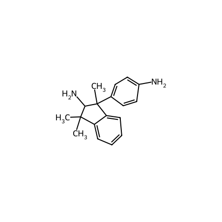 CC1(C)c2ccccc2C(C)(c2ccc(N)cc2)C1N